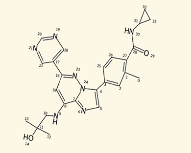 Cc1cc(-c2cnc3c(NCC(C)(C)O)cc(-c4cncnc4)nn23)ccc1C(=O)NC1CC1